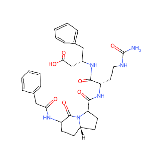 NC(=O)NCC[C@H](NC(=O)C1CC[C@@H]2CCC(NC(=O)Cc3ccccc3)C(=O)N12)C(=O)N[C@H](CC(=O)O)Cc1ccccc1